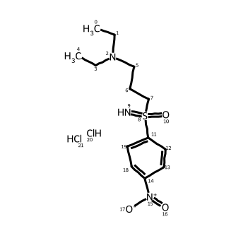 CCN(CC)CCCS(=N)(=O)c1ccc([N+](=O)[O-])cc1.Cl.Cl